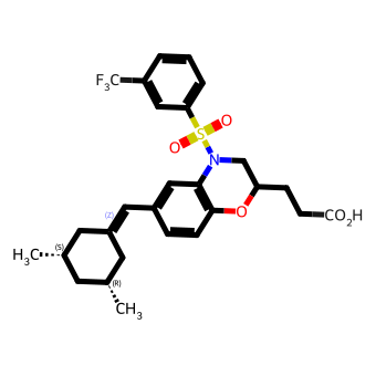 C[C@@H]1C/C(=C/c2ccc3c(c2)N(S(=O)(=O)c2cccc(C(F)(F)F)c2)CC(CCC(=O)O)O3)C[C@H](C)C1